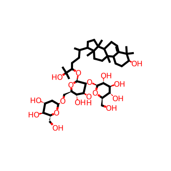 CC(CCC(O[C@@H]1O[C@H](CO[C@H]2C[C@@H](O)[C@H](O)[C@@H](CO)O2)[C@@H](O)[C@H](O)[C@H]1O[C@@H]1O[C@H](CO)[C@@H](O)[C@H](O)[C@H]1O)C(C)(C)O)C1CCC2(C)C3CC=C4C(CC[C@H](O)C4(C)C)C3(C)CCC12C